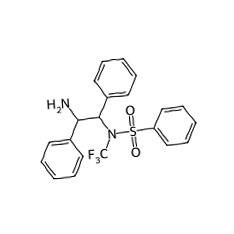 NC(c1ccccc1)C(c1ccccc1)N(C(F)(F)F)S(=O)(=O)c1ccccc1